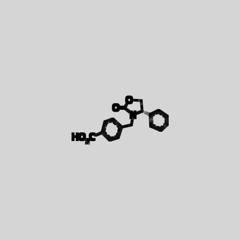 O=C(O)c1ccc(CN2C(=O)OC[C@@H]2c2ccccc2)cc1